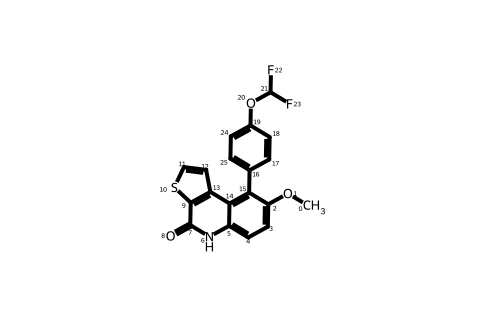 COc1ccc2[nH]c(=O)c3sccc3c2c1-c1ccc(OC(F)F)cc1